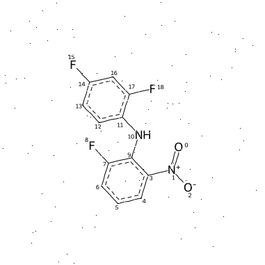 O=[N+]([O-])c1cccc(F)c1Nc1ccc(F)cc1F